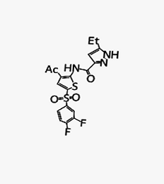 CCc1cc(C(=O)Nc2sc(S(=O)(=O)c3ccc(F)c(F)c3)cc2C(C)=O)n[nH]1